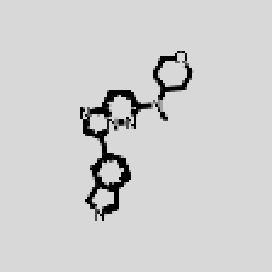 CN(c1ccc2ncc(-c3ccc4c(c3)CN=C4)n2n1)C1CCOCC1